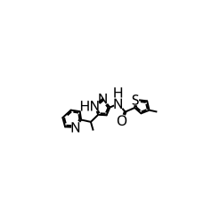 Cc1csc(C(=O)Nc2cc(C(C)c3ccccn3)[nH]n2)c1